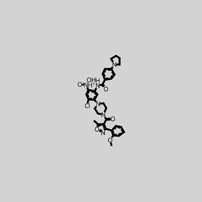 COc1ccccc1-c1noc(C)c1C(=O)N1CCN(c2cc(NC(=O)c3ccc(N4CCCC4)cc3)c([NH+]([O-])O)cc2Cl)CC1